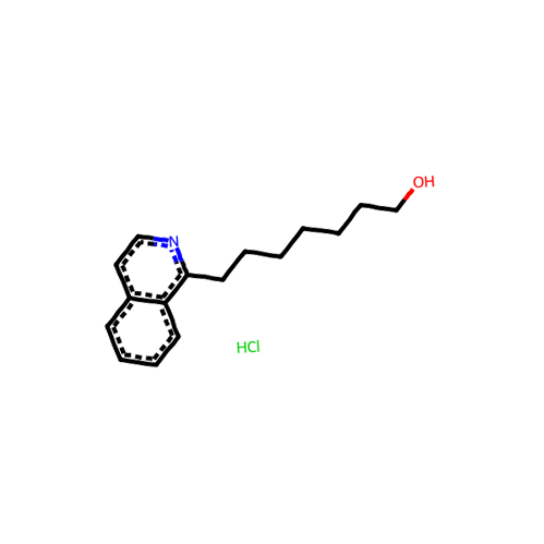 Cl.OCCCCCCCc1nccc2ccccc12